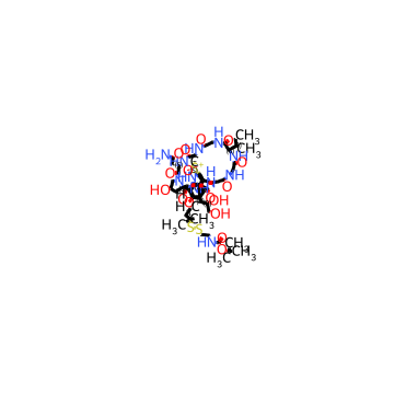 CC[C@H](C)[C@@H]1NC(=O)CNC(=O)C2Cc3c([nH]c4cc(OCCC(C)(C)SSCCNC(=O)OC(C)(C)C)ccc34)[S@+]([O-])CC(NC(=O)CNC1=O)C(=O)N[C@@H](CC(N)=O)C(=O)N1CC(O)C[C@H]1C(=O)N[C@@H]([C@@H](C)[C@@H](O)CO)C(=O)N2